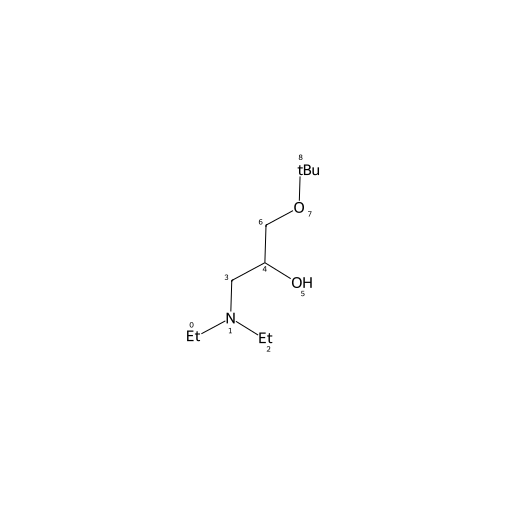 CCN(CC)CC(O)COC(C)(C)C